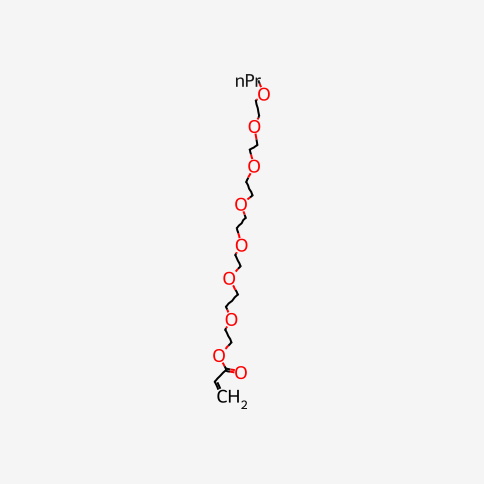 C=CC(=O)OCCOCCOCCOCCOCCOCCOCCOCCC